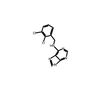 Clc1cccc(CNc2ncnc3[nH]cnc23)c1Cl